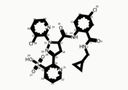 O=C(NCC1CC1)c1cc(Cl)ccc1NC(=O)C1CC(c2ncccc2S(=O)(=O)O)=NN1c1ncccc1Cl